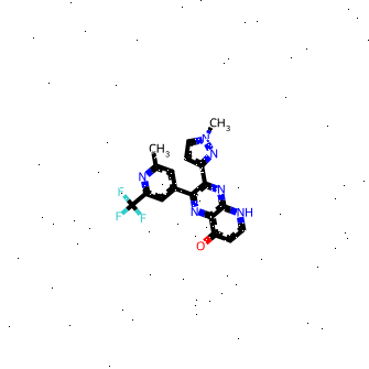 Cc1cc(-c2nc3c(=O)cc[nH]c3nc2-c2ccn(C)n2)cc(C(F)(F)F)n1